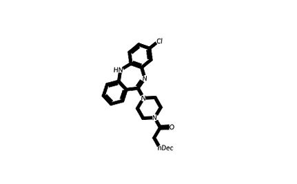 CCCCCCCCCCCC(=O)N1CCN(C2=Nc3cc(Cl)ccc3Nc3ccccc32)CC1